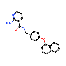 Nc1ncccc1C(=O)NCc1ccc(Oc2cccc3ccccc23)cc1